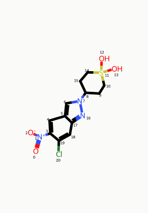 O=[N+]([O-])c1cc2cn(C3CCS(O)(O)CC3)nc2cc1Cl